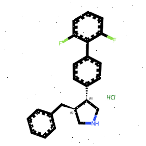 Cl.Fc1cccc(F)c1-c1ccc([C@@H]2CNC[C@H]2Cc2ccccc2)cc1